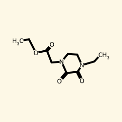 CCOC(=O)CN1CCN(CC)C(=O)C1=O